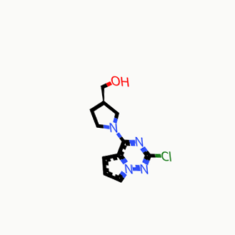 OC[C@@H]1CCN(c2nc(Cl)nn3cccc23)C1